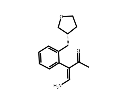 CC(=O)/C(=C/N)c1ccccc1C[C@H]1CCOC1